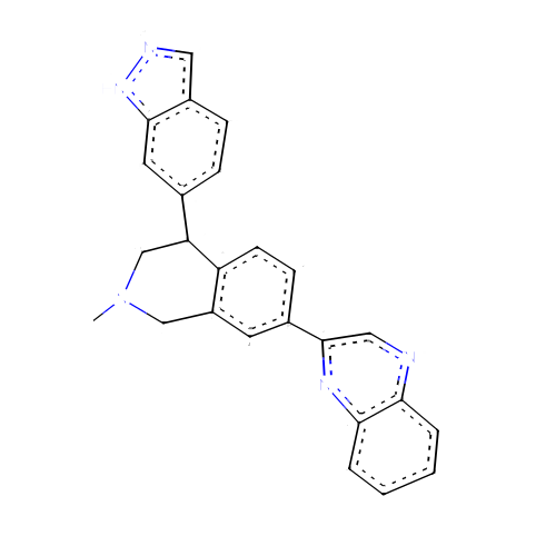 CN1Cc2cc(-c3cnc4ccccc4n3)ccc2C(c2ccc3cn[nH]c3c2)C1